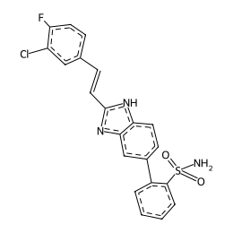 NS(=O)(=O)c1ccccc1-c1ccc2[nH]c(/C=C/c3ccc(F)c(Cl)c3)nc2c1